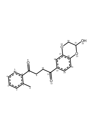 Cc1cccnc1C(=O)CCC(=O)c1ccc2c(c1)OCC(O)O2